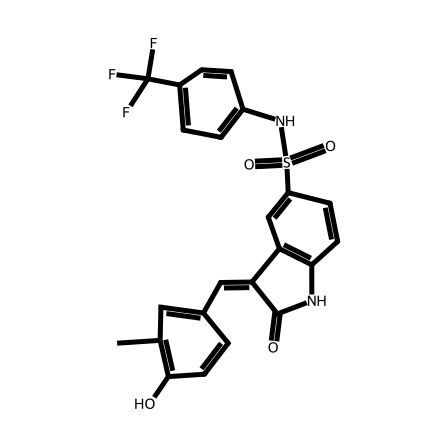 Cc1cc(C=C2C(=O)Nc3ccc(S(=O)(=O)Nc4ccc(C(F)(F)F)cc4)cc32)ccc1O